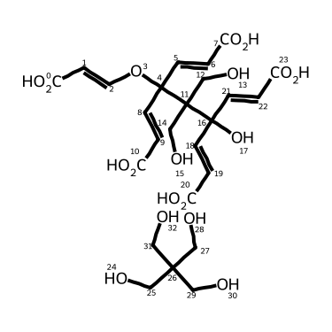 O=C(O)C=COC(C=CC(=O)O)(C=CC(=O)O)C(CO)(CO)C(O)(C=CC(=O)O)C=CC(=O)O.OCC(CO)(CO)CO